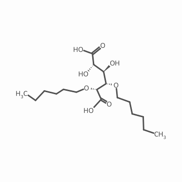 CCCCCCO[C@@H]([C@H](O)[C@H](O)C(=O)O)[C@@H](OCCCCCC)C(=O)O